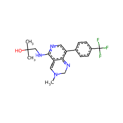 CN1C=c2c(NCC(C)(C)O)ncc(-c3ccc(C(F)(F)F)cc3)c2=NC1